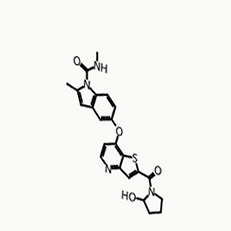 CNC(=O)n1c(C)cc2cc(Oc3ccnc4cc(C(=O)N5CCCC5O)sc34)ccc21